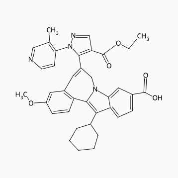 CCOC(=O)c1cnn(-c2ccncc2C)c1C1=Cc2cc(OC)ccc2-c2c(C3CCCCC3)c3ccc(C(=O)O)cc3n2C1